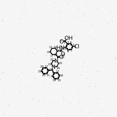 O=C(O)c1cc(Cl)ccc1NC(=O)C1CCCCC1C(=O)N1CCN(C(c2ccccc2)c2ccccc2)CC1